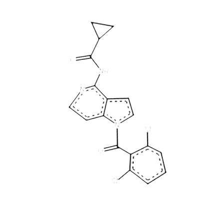 O=C(Nc1nccc2c1ccn2C(=O)c1c(Cl)cccc1Cl)C1CC1